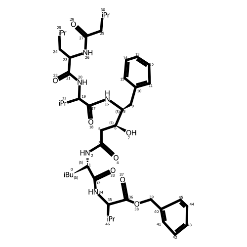 CC[C@H](C)[C@H](NC(=O)C[C@H](O)[C@H](Cc1ccccc1)NC(=O)C(NC(=O)C(CC(C)C)NC(=O)CC(C)C)C(C)C)C(=O)NC(C(=O)OCc1ccccc1)C(C)C